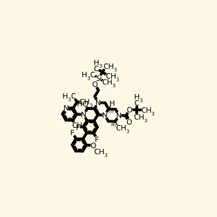 COc1cccc(F)c1-c1c(F)cc2c(c1F)N(c1c(C)ccnc1C(C)C)C(O)C1=C2N2C[C@@H](C)N(C(=O)OC(C)(C)C)C[C@@H]2CN1CCO[Si](C)(C)C(C)(C)C